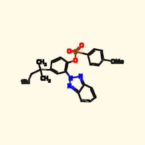 COc1ccc(S(=O)(=O)Oc2ccc(C(C)(C)CC(C)(C)C)cc2-n2nc3ccccc3n2)cc1